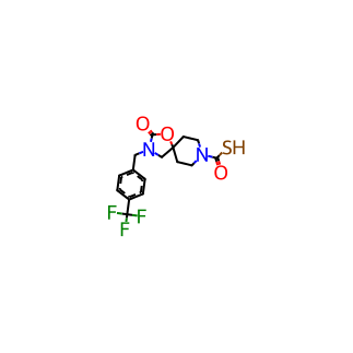 O=C(S)N1CCC2(CC1)CN(Cc1ccc(C(F)(F)F)cc1)C(=O)O2